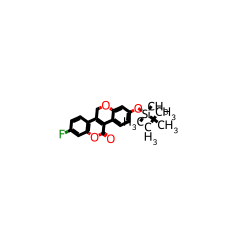 CC(C)(C)[Si](C)(C)Oc1ccc2c(c1)OCc1c-2c(=O)oc2cc(F)ccc12